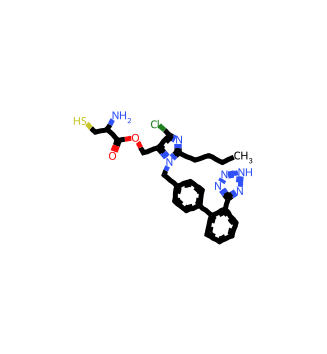 CCCCc1nc(Cl)c(COC(=O)C(N)CS)n1Cc1ccc(-c2ccccc2-c2nn[nH]n2)cc1